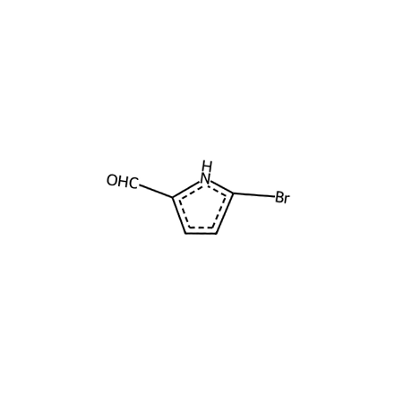 O=Cc1ccc(Br)[nH]1